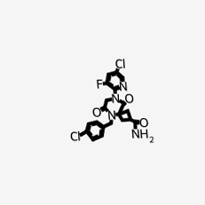 NC(=O)C1CC2(C1)C(=O)N(c1ncc(Cl)cc1F)CC(=O)N2Cc1ccc(Cl)cc1